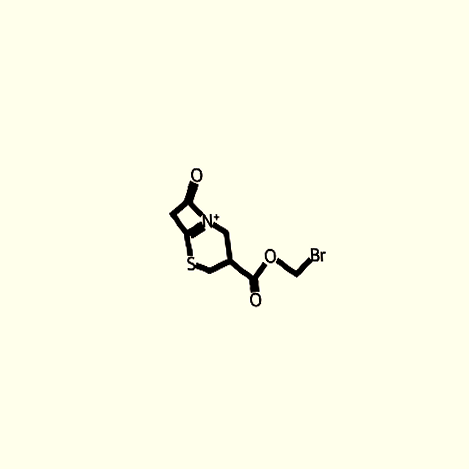 O=C(OCBr)C1CSC2=[N+](C1)C(=O)C2